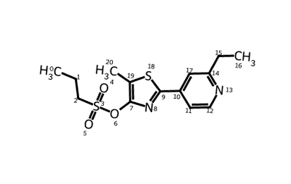 CCCS(=O)(=O)Oc1nc(-c2ccnc(CC)c2)sc1C